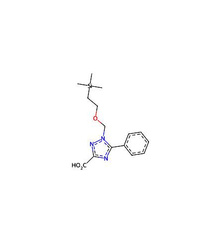 C[Si](C)(C)CCOCn1nc(C(=O)O)nc1-c1ccccc1